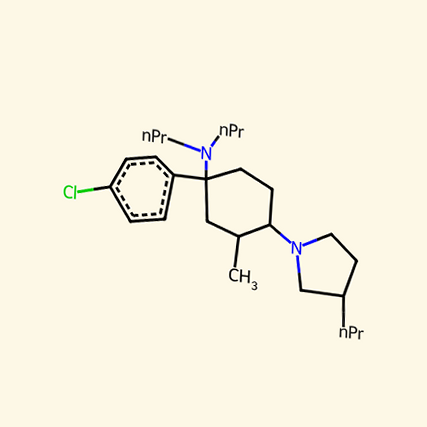 CCCC1CCN(C2CCC(c3ccc(Cl)cc3)(N(CCC)CCC)CC2C)C1